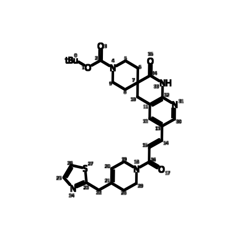 CC(C)(C)OC(=O)N1CCC2(CC1)Cc1cc(C=CC(=O)N3CC=C(Cc4nccs4)CC3)cnc1NC2=O